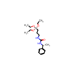 CCO[Si](CCCNC(=O)N[C@H](C)c1ccccc1)(OCC)OCC